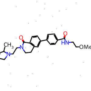 COCCNC(=O)c1ccc(-c2ccc3c(c2)CCN(CCN2CCCC2C)C3=O)cc1